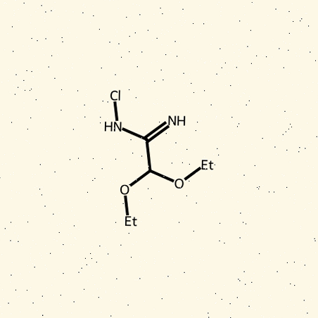 CCOC(OCC)C(=N)NCl